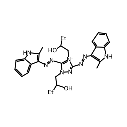 CCC(O)Cn1nc(N=Nc2c(C)[nH]c3ccccc23)[n+](CC(O)CC)c1N=Nc1c(C)[nH]c2ccccc12